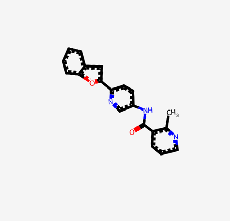 Cc1ncccc1C(=O)Nc1ccc(-c2cc3ccccc3o2)nc1